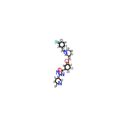 Cc1ccc(-c2noc(-c3cccc(OCC4CCCN(Cc5cccc(F)c5)C4)c3)n2)cn1